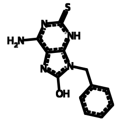 Nc1nc(=S)[nH]c2c1nc(O)n2Cc1ccccc1